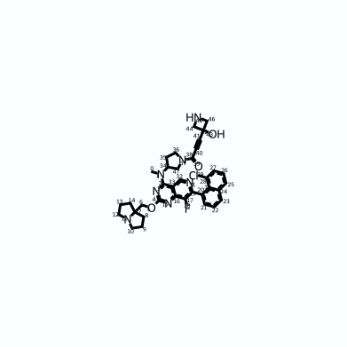 CN(c1nc(OCC23CCCN2CCC3)nc2c(F)c(-c3cccc4cccc(Cl)c34)ncc12)C1CCN(C(=O)C#CC2(O)CNC2)C1